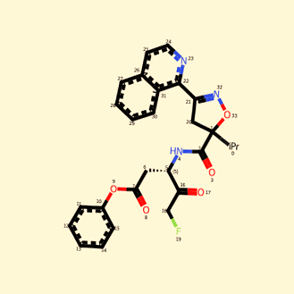 CC(C)C1(C(=O)N[C@@H](CC(=O)Oc2ccccc2)C(=O)CF)CC(c2nccc3ccccc23)=NO1